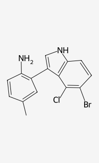 Cc1ccc(N)c(-c2c[nH]c3ccc(Br)c(Cl)c23)c1